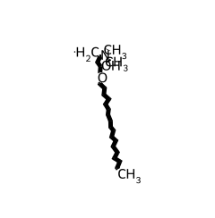 [CH2]C(CC(O)COCCCCCCCCCCCCCCCCCC)N(C)C